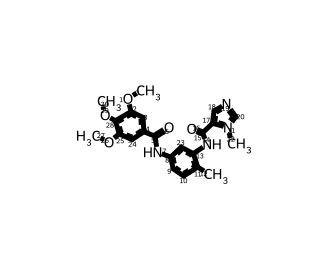 COc1cc(C(=O)Nc2ccc(C)c(NC(=O)c3cncn3C)c2)cc(OC)c1OC